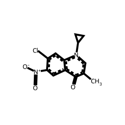 Cc1cn(C2CC2)c2cc(Cl)c([N+](=O)[O-])cc2c1=O